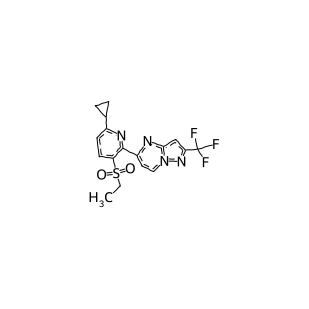 CCS(=O)(=O)c1ccc(C2CC2)nc1-c1ccn2nc(C(F)(F)F)cc2n1